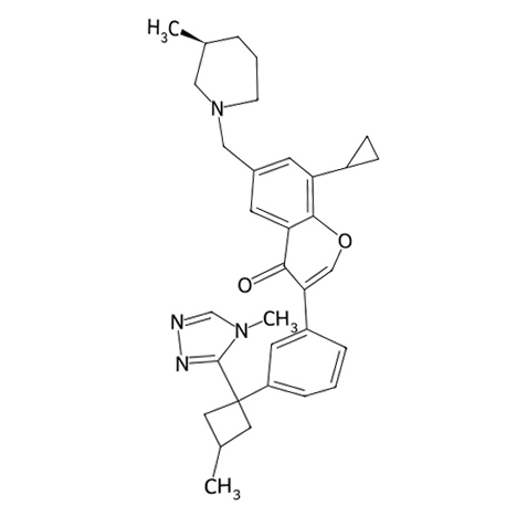 CC1CC(c2cccc(-c3coc4c(C5CC5)cc(CN5CCC[C@H](C)C5)cc4c3=O)c2)(c2nncn2C)C1